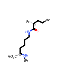 CC(=O)CC[C@H](C(=O)NCCCC[C@H](NC(C)C)C(=O)O)C(C)C